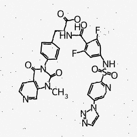 Cn1c(=O)n(-c2ccc(C[C@H](NC(=O)c3c(F)cc(NS(=O)(=O)c4ccc(-n5ccnn5)cn4)cc3F)C(=O)O)cc2)c(=O)c2ccncc21